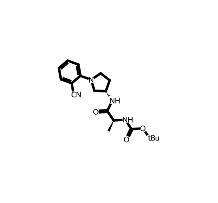 C[C@H](NC(=O)OC(C)(C)C)C(=O)N[C@H]1CCN(c2ccccc2C#N)C1